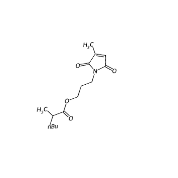 CCCCC(C)C(=O)OCCCN1C(=O)C=C(C)C1=O